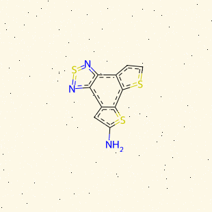 Nc1cc2c3nsnc3c3ccsc3c2s1